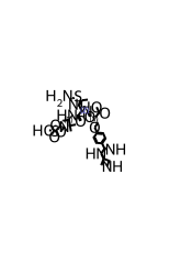 Cc1sc(N)nc1/C(=N/O[C@@H](COc1ccc(C(=N)NC2CNC2)cc1)C(=O)O)C(=O)N[C@@H]1CN(OS(=O)(=O)O)C1(C)C